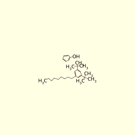 CCCCCCCCCc1cc(C(C)(C)C)cc(C(C)(C)C)c1.Oc1ccccc1